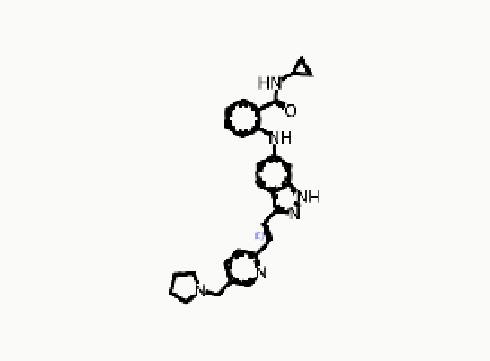 O=C(NC1CC1)c1ccccc1Nc1ccc2c(/C=C/c3ccc(CN4CCCC4)cn3)n[nH]c2c1